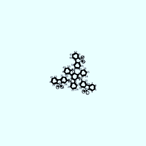 O=S1(=O)c2ccccc2-c2cc(-n3c4ccccc4c4c3c3c5ccccc5n(-c5ccc6c(c5)S(=O)(=O)c5ccccc5-6)c3c3c5ccccc5n(-c5ccc6c(c5)-c5ccccc5S6(=O)=O)c43)ccc21